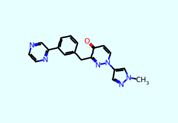 Cn1cc(-n2ccc(=O)c(Cc3cccc(-c4cnccn4)c3)n2)cn1